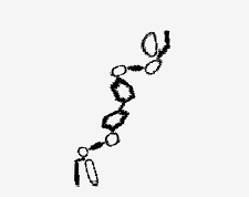 C=CC(=O)OC#COc1ccc(-c2ccc(OC#COC(=O)C=C)cc2)cc1